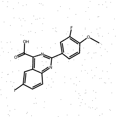 COc1ccc(-c2nc(C(=O)O)c3cc(I)ccc3n2)cc1F